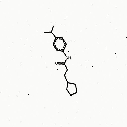 CC(C)c1ccc(NC(=O)CCC2CCCC2)cc1